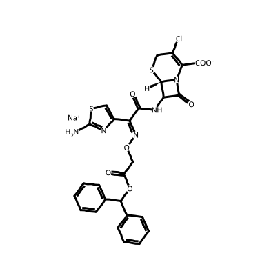 Nc1nc(C(=NOCC(=O)OC(c2ccccc2)c2ccccc2)C(=O)NC2C(=O)N3C(C(=O)[O-])=C(Cl)CS[C@@H]23)cs1.[Na+]